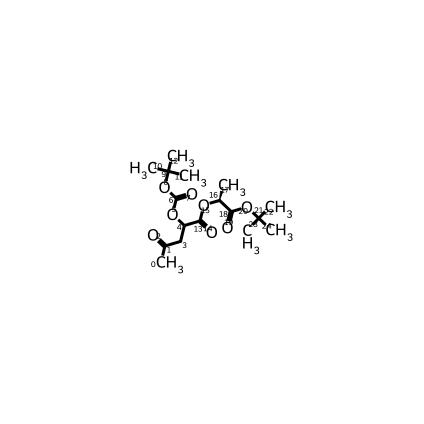 CC(=O)CC(OC(=O)OC(C)(C)C)C(=O)O[C@@H](C)C(=O)OC(C)(C)C